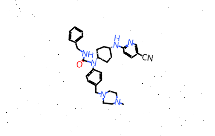 CN1CCN(Cc2ccc(N(C(=O)NCc3ccccc3)[C@H]3CC[C@@H](Nc4ccc(C#N)cn4)CC3)cc2)CC1